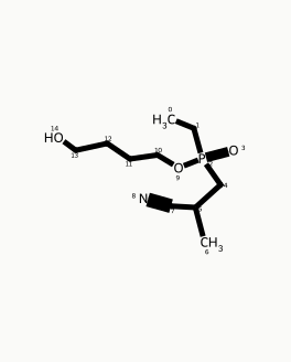 CCP(=O)(CC(C)C#N)OCCCCO